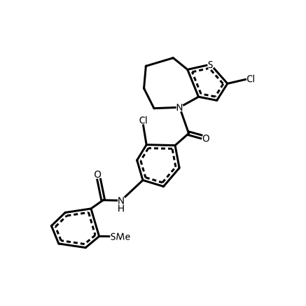 CSc1ccccc1C(=O)Nc1ccc(C(=O)N2CCCCc3sc(Cl)cc32)c(Cl)c1